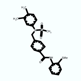 CSc1ccccc1NC(=O)c1ccc(CN(c2ccc(C)c(C)c2)S(C)(=O)=O)cc1